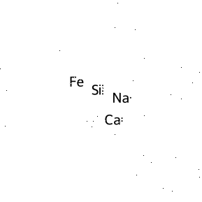 [Ca].[Fe].[Na].[Si]